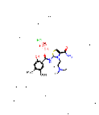 COc1cc(O)c(C(=O)NC2SC=C(C(N)=O)N2CCN(C(C)C)C(C)C)cc1OC.Cl.O.O.O